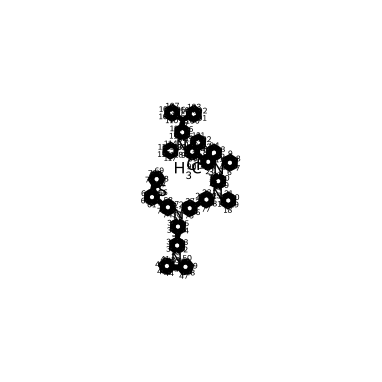 Cc1cc(N(c2ccccc2)c2ccc(N(c3ccccc3)c3ccc(-c4ccc(N(c5ccc(-c6ccc(-n7c8ccccc8c8ccccc87)cc6)cc5)c5ccc(-c6cccc7c6sc6ccccc67)cc5)cc4)cc3)cc2)c2ccccc2c1-c1c(C)cc(N(c2ccc(C(c3ccccc3)c3ccccc3)cc2)C2C=CC=CC2)c2ccccc12